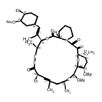 CC[C@@H]1/C=C(\C)C[C@H](C)C[C@H](OC)[C@H]2O[C@@](O)(C(=O)C(=O)N3CCCC[C@H]3C(=O)O[C@H](/C(C)=C/[C@@H]3CC[C@H](Cl)[C@H](OC)C3)[C@H](C)CCC1=O)[C@H](C)C[C@@H]2OC